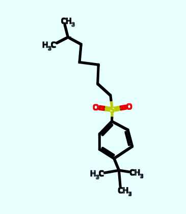 C[C](C)CCCCCS(=O)(=O)c1ccc(C(C)(C)C)cc1